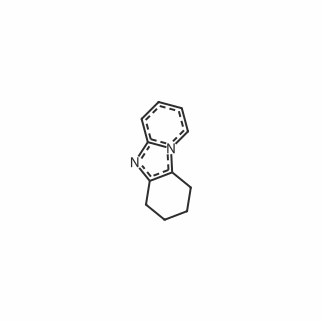 c1ccn2c3c(nc2c1)CCCC3